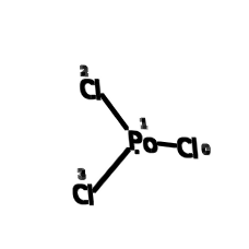 [Cl][Po]([Cl])[Cl]